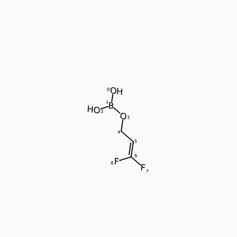 OB(O)OCC=C(F)F